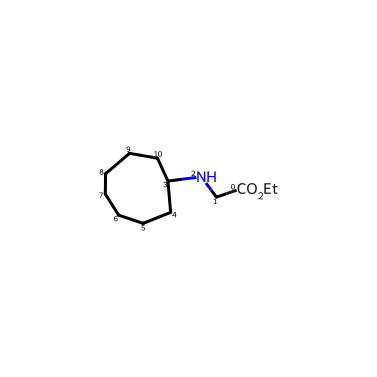 CCOC(=O)CNC1CCCCCCC1